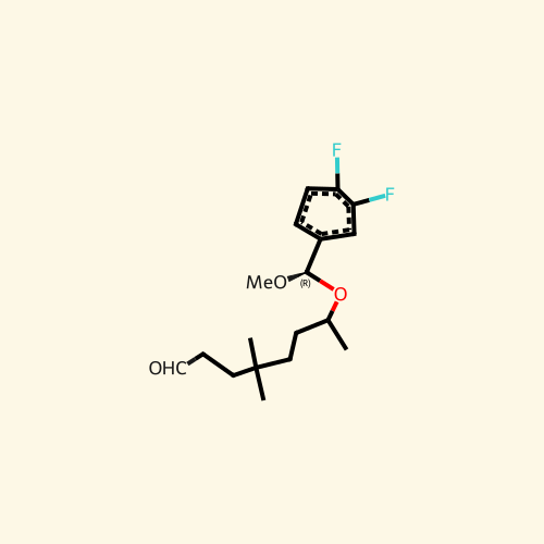 CO[C@H](OC(C)CCC(C)(C)CCC=O)c1ccc(F)c(F)c1